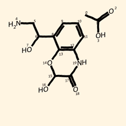 CC(=O)O.NCC(O)c1cccc2c1OC(O)C(=O)N2